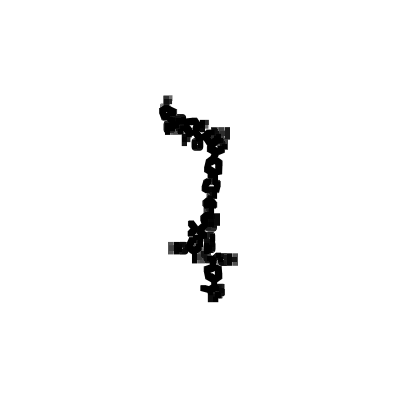 Cc1ncsc1-c1ccc([C@H](CO)NC(=O)[C@@H]2C[C@@H](O)CN2C(=O)[C@@H](c2cc(N3CC(N4CCN(c5ccc(-c6cnc7[nH]cc(C(=O)c8c(F)ccc(NS(=O)(=O)N9CC[C@@H](F)C9)c8F)c7c6)cc5)CC4)C3)no2)C(C)C)cc1